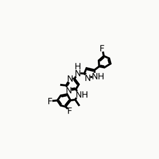 Cc1nc(Nc2cc(-c3cccc(F)c3)[nH]n2)cc(NC(C)c2ccc(F)cc2F)n1